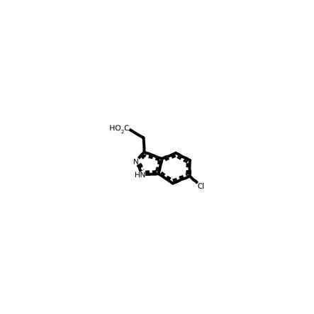 O=C(O)Cc1n[nH]c2cc(Cl)ccc12